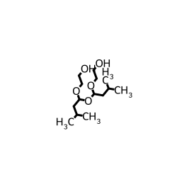 CC(C)CC(OCCO)OC(CC(C)C)OCCO